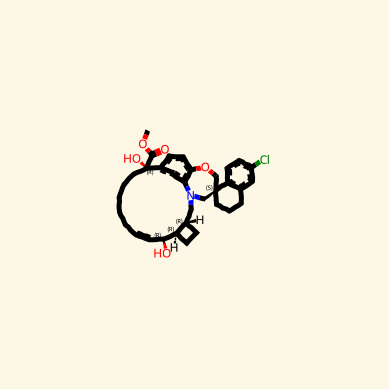 COC(=O)[C@@]1(O)CCCCCC=C[C@H](O)[C@@H]2CC[C@H]2CN2C[C@@]3(CCCc4cc(Cl)ccc43)COc3ccc1cc32